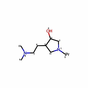 CC(C)N1CC(O)C(CCN(C)C)C1